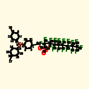 Cc1ccc([S+](c2ccc(C)cc2)c2ccc(C)cc2)cc1.O=S(=O)([O-])C(F)(F)C(F)(F)C(F)(F)C(F)(F)C(F)(F)C(F)(F)C(F)(F)C(F)(F)F